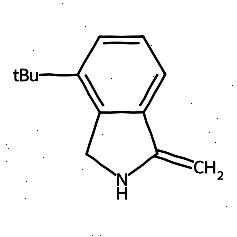 C=C1NCc2c1cccc2C(C)(C)C